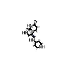 N=C/C(=C\NC1CCNCC1)N1CCC(=O)NC1=O